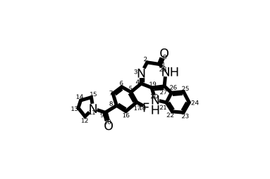 O=C1CN=C(c2ccc(C(=O)N3CCCC3)cc2F)c2[nH]c3ccccc3c2N1